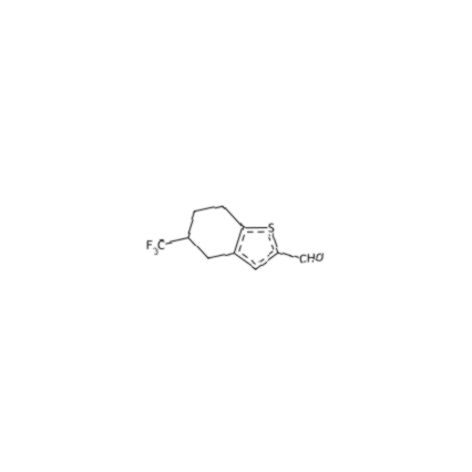 O=Cc1cc2c(s1)CCC(C(F)(F)F)C2